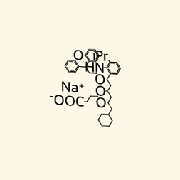 CC(C)c1cccc(CCC(CCCC2CCCCC2)OC(=O)CCC(=O)[O-])c1NC(=O)CC1c2ccccc2Oc2ccccc21.[Na+]